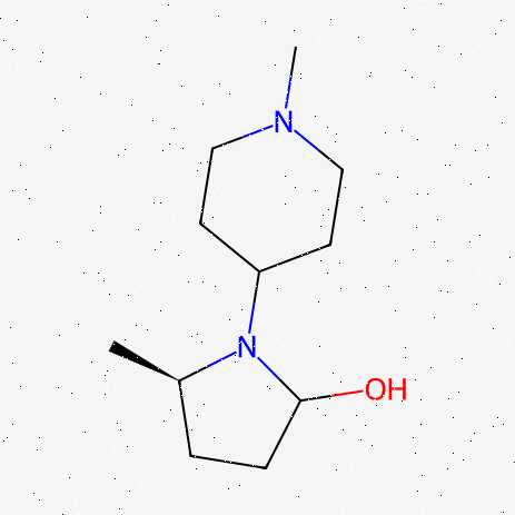 C[C@@H]1CCC(O)N1C1CCN(C)CC1